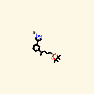 CCn1cc(-c2cccc(C(C)CCCB3OC(C)(C)C(C)(C)O3)c2)cn1